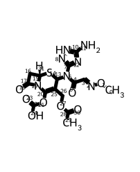 CON=CC(=O)N(c1n[nH]c(N)n1)C1S[C@H]2CC(=O)N2C(OC(=O)O)=C1COC(C)=O